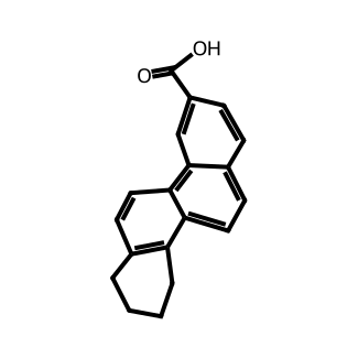 O=C(O)c1ccc2ccc3c4c(ccc3c2c1)CCCC4